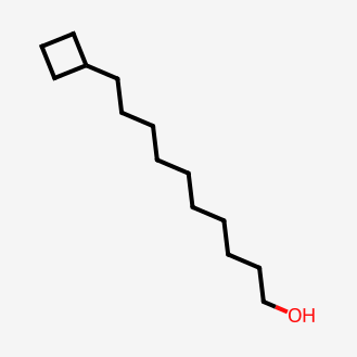 OCCCCCCCCCCC1CCC1